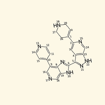 C1=C(c2cc3c(-c4nc5c(-c6ccncc6)cncc5[nH]4)n[nH]c3cn2)CCNC1